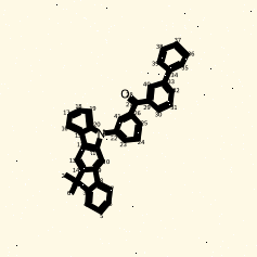 CC1(C)c2ccccc2-c2cc3c(cc21)c1ccccc1n3-c1cccc(C(=O)c2cccc(-c3ccccc3)c2)c1